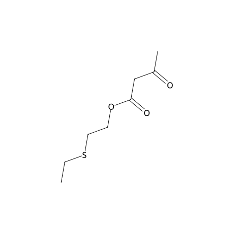 CCSCCOC(=O)CC(C)=O